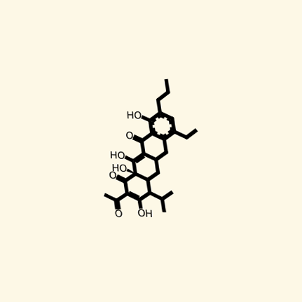 CCCc1cc(CC)c2c(c1O)C(=O)C1=C(O)[C@@]3(O)C(=O)C(C(C)=O)=C(O)C(C(C)C)C3CC1C2